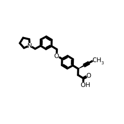 CC#C[C@@H](CC(=O)O)c1ccc(OCc2cccc(CN3CCCC3)c2)cc1